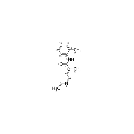 C=C/N=C\C=C(/C)C(=O)Nc1ccccc1C